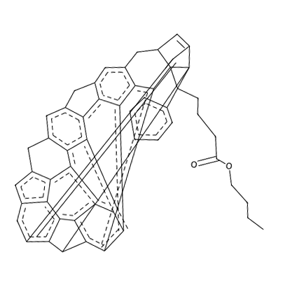 CCCCOC(=O)CCCC1(c2ccccc2)C23C4=CC5Cc6cc7c8c9c(cc%10c%11c%12c%13c(cc%14cc(c%15c(c%16c(c%17c(c6c8c%17c(c9%11)c%16%12)C512)C%153)c%14%13)=C4)C%10)C7